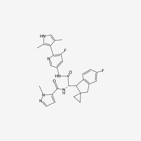 Cc1c[nH]c(C)c1-c1ncc(NC(=O)[C@@H](NC(=O)c2ccnn2C)C2c3ccc(F)cc3CC23CC3)cc1F